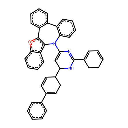 C1=CCCC(C2=NC(N3c4ccccc4-c4ccccc4-c4oc5ccccc5c43)=CC(C3C=CC(c4ccccc4)=CC3)N2)=C1